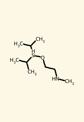 CNCCO[SiH](C(C)C)C(C)C